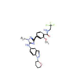 COc1cc(-c2nc(Nc3ccc4c(cnn4C4CCCCO4)c3)n(C)n2)ccc1C(=O)NCC(F)(F)F